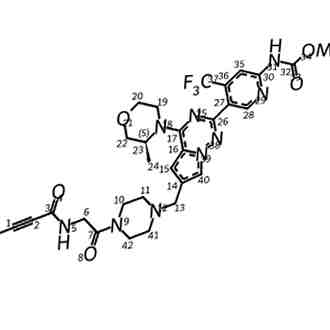 CC#CC(=O)NCC(=O)N1CCN(Cc2cc3c(N4CCOC[C@@H]4C)nc(-c4cnc(NC(=O)OC)cc4C(F)(F)F)nn3c2)CC1